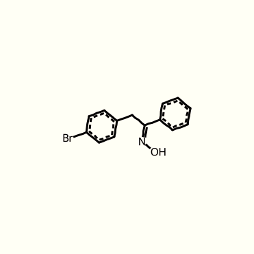 ON=C(Cc1ccc(Br)cc1)c1ccccc1